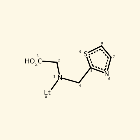 CCN(CC(=O)O)Cc1nccs1